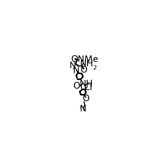 CNC(=O)c1ncn(-c2ccc(NC(=O)c3ccc(OCCN(C)C)cc3Cl)cc2)c1C(N)=O